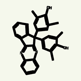 Cc1cc(C2(c3cc(C)c(O)c(C)c3)c3ccccc3-c3nc4ccccc4nc32)cc(C)c1O